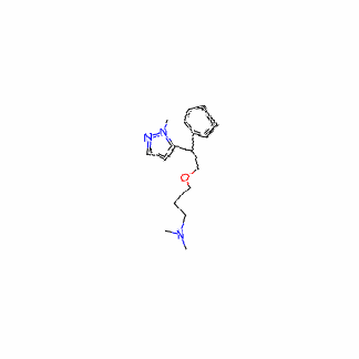 CN(C)CCCOCC(c1ccccc1)c1ccnn1C